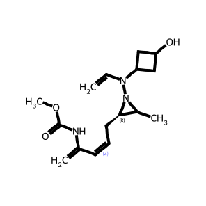 C=CN(C1CC(O)C1)N1C(C)[C@H]1C/C=C\C(=C)NC(=O)OC